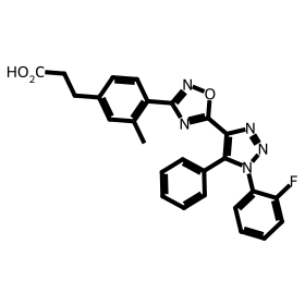 Cc1cc(CCC(=O)O)ccc1-c1noc(-c2nnn(-c3ccccc3F)c2-c2ccccc2)n1